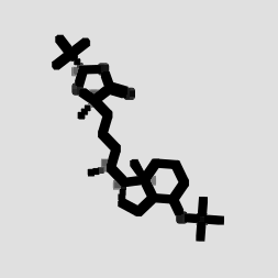 C[C@H](CCC[C@@]1(C)O[C@H](C(C)(C)C)OC1=O)[C@H]1CCC2C(O[Si](C)(C)C)CCC[C@]21C